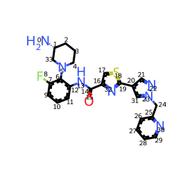 N[C@@H]1CCCN(c2c(F)cccc2NC(=O)c2csc(-c3cnn(Cc4ccccn4)c3)n2)C1